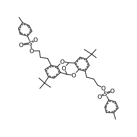 Cc1ccc(S(=O)(=O)OCCCc2cc(C(C)(C)C)cc3c2OC2OC3Oc3c(CCCOS(=O)(=O)c4ccc(C)cc4)cc(C(C)(C)C)cc32)cc1